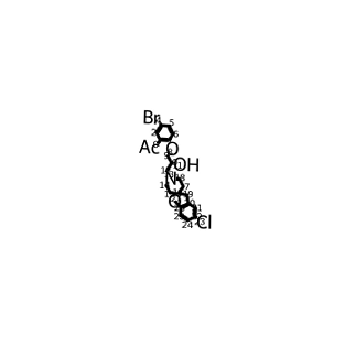 CC(=O)c1cc(Br)ccc1OC[C@@H](O)CN1CCC2(CC1)Cc1cc(Cl)ccc1O2